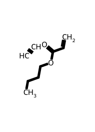 C#C.C=CC(=O)OCCCC